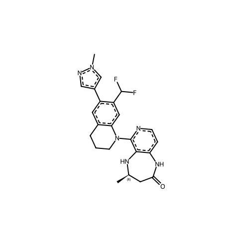 C[C@@H]1CC(=O)Nc2ccnc(N3CCCc4cc(-c5cnn(C)c5)c(C(F)F)cc43)c2N1